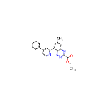 CCOC(=O)c1nnc2c(-c3cc(-c4ccccc4)ccn3)cc(C)cc2n1